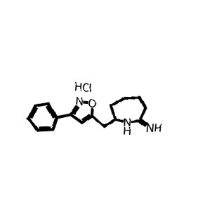 Cl.N=C1CCCCC(Cc2cc(-c3ccccc3)no2)N1